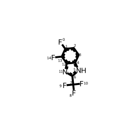 Fc1ccc2[nH]c(C(F)(F)F)nc2c1F